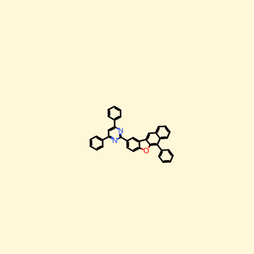 c1ccc(-c2cc(-c3ccccc3)nc(-c3ccc4oc5c(-c6ccccc6)c6ccccc6cc5c4c3)n2)cc1